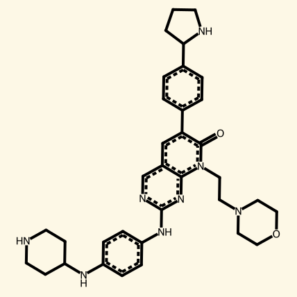 O=c1c(-c2ccc(C3CCCN3)cc2)cc2cnc(Nc3ccc(NC4CCNCC4)cc3)nc2n1CCN1CCOCC1